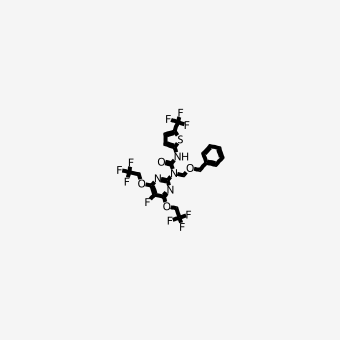 O=C(Nc1ccc(C(F)(F)F)s1)N(COCc1ccccc1)c1nc(OCC(F)(F)F)c(F)c(OCC(F)(F)F)n1